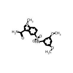 COc1cc(NS(=O)(=O)c2ccc3c(c2)c(C(N)=O)cn3C)cc(OC)c1